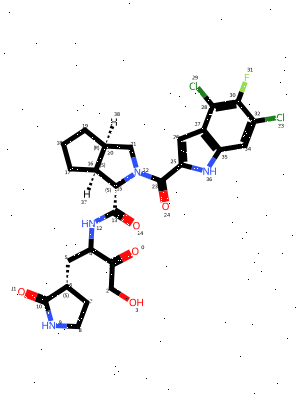 O=C(CO)C(C[C@@H]1CCNC1=O)NC(=O)[C@@H]1[C@H]2CCC[C@H]2CN1C(=O)c1cc2c(Cl)c(F)c(Cl)cc2[nH]1